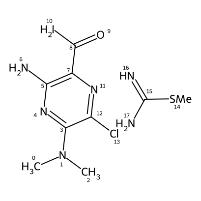 CN(C)c1nc(N)c(C(=O)[IH2])nc1Cl.CSC(=N)N